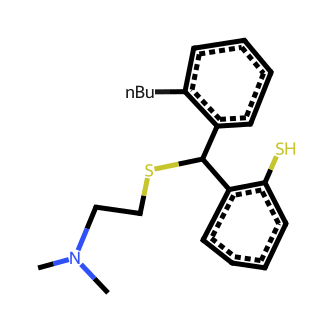 CCCCc1ccccc1C(SCCN(C)C)c1ccccc1S